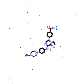 CC(C)N1CCN(c2ccc(Nc3ncc(-c4ccc(C(N)=O)cc4)n4ccnc34)cc2)CC1